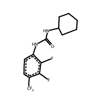 O=C(Nc1ccc(C(F)(F)F)c(F)c1F)NC1CCCCC1